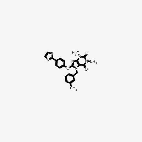 Cc1cccc(Cn2c(Oc3ccc(-c4nccs4)cc3)nc3c2c(=O)n(C)c(=O)n3C)c1